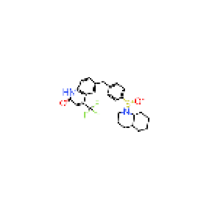 O=c1cc(C(F)(F)F)c2cc(Cc3ccc([S+]([O-])N4CCCC5CCCCC54)cc3)ccc2[nH]1